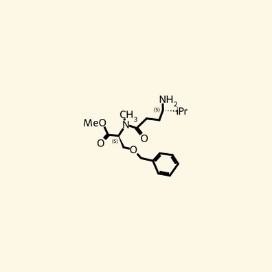 COC(=O)[C@H](COCc1ccccc1)N(C)C(=O)CC[C@H](N)C(C)C